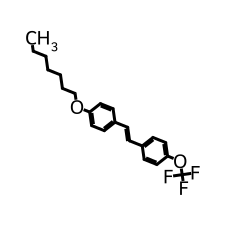 CCCCCCCOc1ccc(C=Cc2ccc(OC(F)(F)F)cc2)cc1